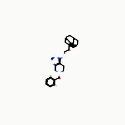 O=C(c1c(F)cccc1F)N1CCc2c(ncnc2NCC(O)C23CC4CC(CC(C4)C2)C3)C1